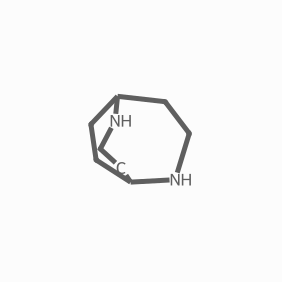 C1CC2CCC(CCN2)N1